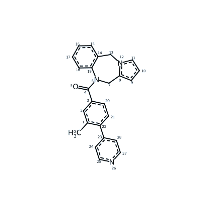 Cc1cc(C(=O)N2Cc3cccn3Cc3ccccc32)ccc1-c1ccncc1